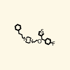 Fc1ccc(C(OCCN2CCN(CCCc3ccccc3)CC2)c2ccsc2)cc1